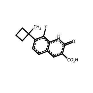 CC1(c2ccc3cc(C(=O)O)c(=O)[nH]c3c2F)CCC1